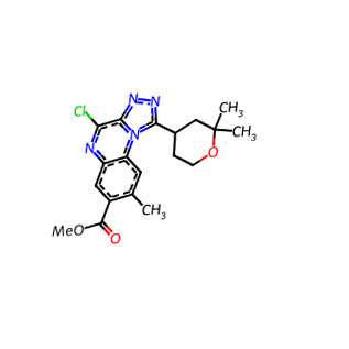 COC(=O)c1cc2nc(Cl)c3nnc(C4CCOC(C)(C)C4)n3c2cc1C